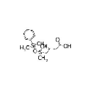 C[Si](C)(CCCC(=O)O)O[Si](C)(C)c1ccccc1